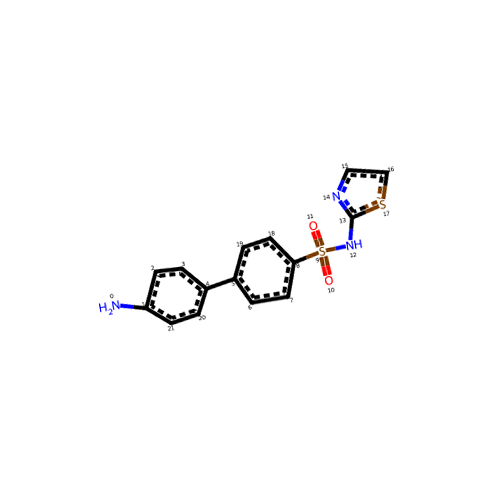 Nc1ccc(-c2ccc(S(=O)(=O)Nc3nccs3)cc2)cc1